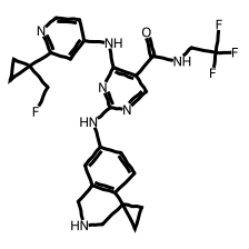 O=C(NCC(F)(F)F)c1cnc(Nc2ccc3c(c2)CNCC32CC2)nc1Nc1ccnc(C2(CF)CC2)c1